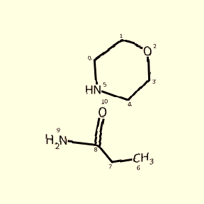 C1COCCN1.CCC(N)=O